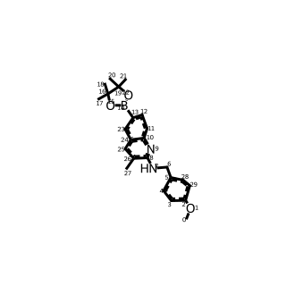 COc1ccc(CNc2nc3ccc(B4OC(C)(C)C(C)(C)O4)cc3cc2C)cc1